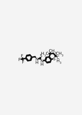 CC1(C)CC(C)(C)c2cc(NC(=S)NCc3ccc(C(F)(F)F)cc3)ccc2S1